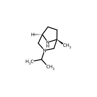 CC(C)N1C[C@H]2CC[C@](C)(C1)N2